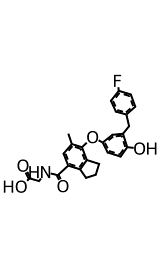 Cc1cc(C(=O)NCC(=O)O)c2c(c1Oc1ccc(O)c(Cc3ccc(F)cc3)c1)CCC2